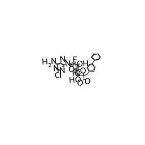 COC(=O)C(Cc1ccc(-c2ccccc2)cc1)(OC1[C@H]2O[C@@H](n3cnc4c(N)nc(Cl)nc43)[C@@H](F)[C@@]12O)C(=O)O